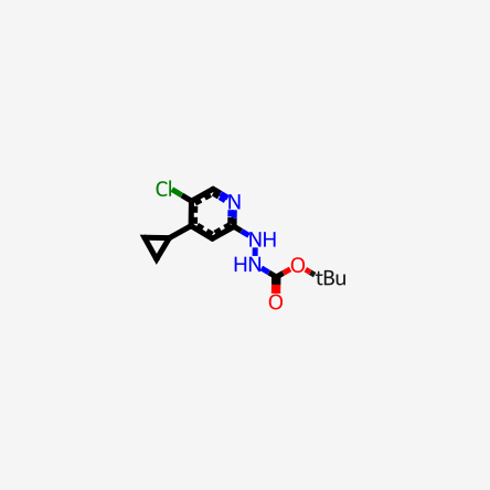 CC(C)(C)OC(=O)NNc1cc(C2CC2)c(Cl)cn1